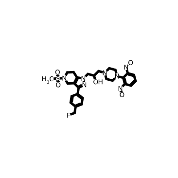 CS(=O)(=O)N1CCc2c(c(-c3ccc(CF)cc3)nn2CC(O)CN2CCN(c3c(N=O)cccc3N=O)CC2)C1